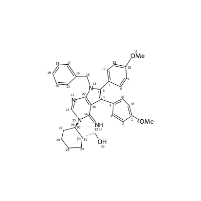 COc1ccc(-c2c(-c3ccc(OC)cc3)n(Cc3ccccc3)c3ncn([C@@H]4CCCC[C@H]4CO)c(=N)c23)cc1